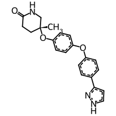 C[C@@]1(Oc2ccc(Oc3ccc(-c4cc[nH]n4)cc3)cc2)CCC(=O)NC1